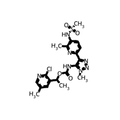 Cc1cnc(Cl)c(C(C)OC(=O)Nc2c(-c3ccc(NS(C)(=O)=O)c(C)n3)nnn2C)c1